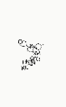 CC1CCN(c2nc(C3CCOCC3)ccc2NC(=O)Oc2ncc(C#N)[nH]2)CC1